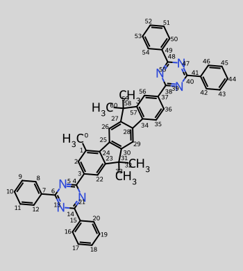 Cc1cc(-c2nc(-c3ccccc3)nc(-c3ccccc3)n2)cc2c1-c1cc3c(cc1C2(C)C)-c1ccc(-c2nc(-c4ccccc4)nc(-c4ccccc4)n2)cc1C3(C)C